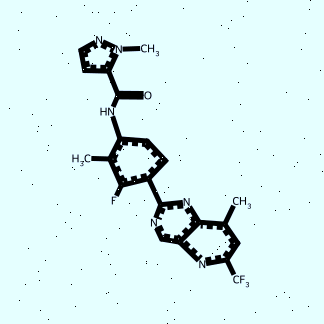 Cc1c(NC(=O)c2ccnn2C)ccc(-c2ncc3nc(C(F)(F)F)cc(C)c3n2)c1F